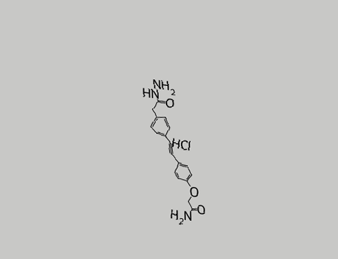 Cl.NNC(=O)Cc1ccc(C#Cc2ccc(OCC(N)=O)cc2)cc1